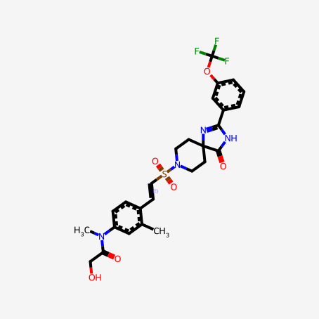 Cc1cc(N(C)C(=O)CO)ccc1/C=C/S(=O)(=O)N1CCC2(CC1)N=C(c1cccc(OC(F)(F)F)c1)NC2=O